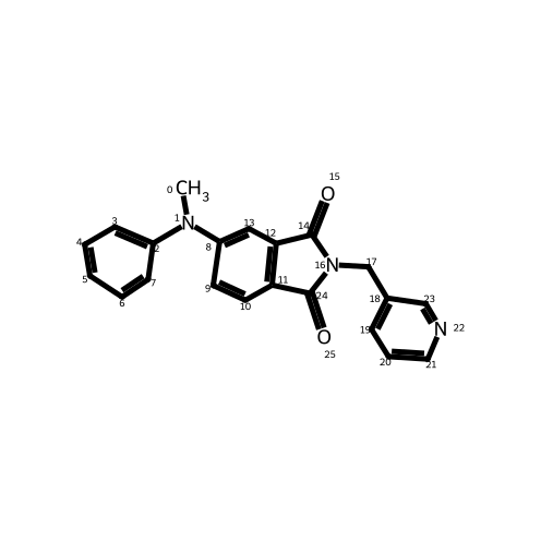 CN(c1ccccc1)c1ccc2c(c1)C(=O)N(Cc1cccnc1)C2=O